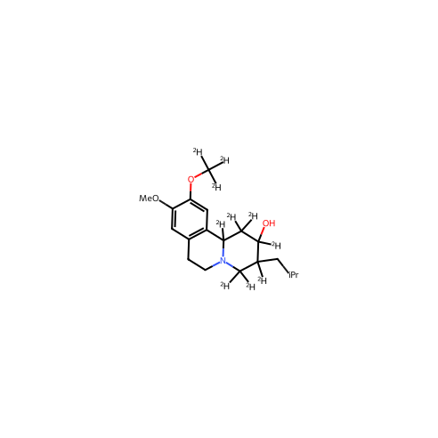 [2H]C([2H])([2H])Oc1cc2c(cc1OC)CCN1C([2H])([2H])C([2H])(CC(C)C)C([2H])(O)C([2H])([2H])C21[2H]